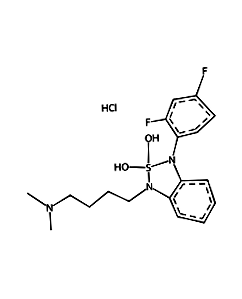 CN(C)CCCCN1c2ccccc2N(c2ccc(F)cc2F)S1(O)O.Cl